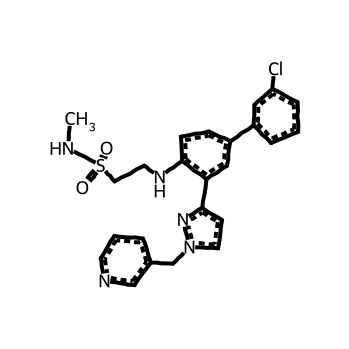 CNS(=O)(=O)CCNc1ccc(-c2cccc(Cl)c2)cc1-c1ccn(Cc2cccnc2)n1